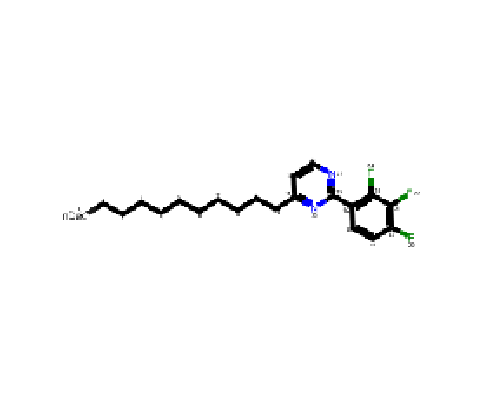 CCCCCCCCCCCCCCCCCCCCc1ccnc(-c2ccc(F)c(F)c2F)n1